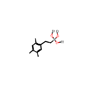 CCO[Si](CCc1cc(C)c(C)cc1C)(OCC)OCC